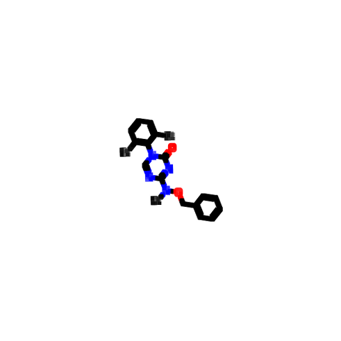 CCc1cccc(CC)c1-n1cnc(N(CC)OCc2ccccc2)nc1=O